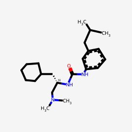 CC(C)Cc1cccc(NC(=O)N[C@@H](CC2CCCCC2)CN(C)C)c1